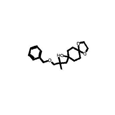 CC(C)(COCc1ccccc1)CC1(O)CCC2(CC1)OCCO2